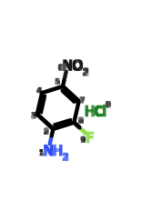 Cl.Nc1ccc([N+](=O)[O-])cc1F